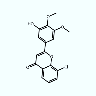 COc1cc(-c2cc(=O)c3cccc(Cl)c3o2)cc(O)c1OC